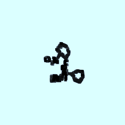 CC(C)(C)[SiH](OCc1ccccc1[N+](=O)[O-])c1ccccc1